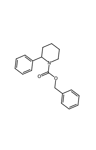 O=C(OCc1ccccc1)N1CCCCC1c1ccccc1